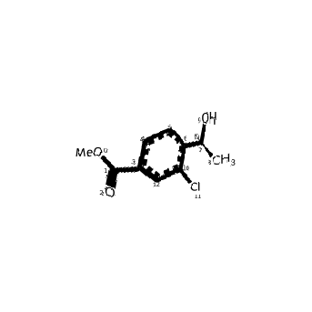 COC(=O)c1ccc([C@H](C)O)c(Cl)c1